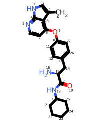 Cc1c[nH]c2nccc(Oc3ccc(C[C@H](N)C(=O)NC4CCCCC4)cc3)c12